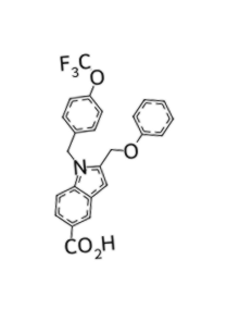 O=C(O)c1ccc2c(c1)cc(COc1ccccc1)n2Cc1ccc(OC(F)(F)F)cc1